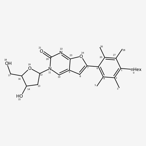 CCCCCCc1c(C)c(C)c(-c2cc3cn(C4CC(O)C(CO)O4)c(=O)nc3o2)c(C)c1C